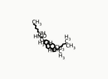 CCCCCCNNC(=O)O[C@H]1CC[C@@]2(C)C(=CC[C@H]3[C@@H]4CC[C@H]([C@H](C)CCCC(C)C)[C@@]4(C)CC[C@@H]32)C1